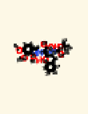 COc1ccc(CN[C@@H](C(=O)O)[C@@H](O)[C@H](Cc2ccccc2)NC(=O)OC(C)(C)C)c(OC)c1OC